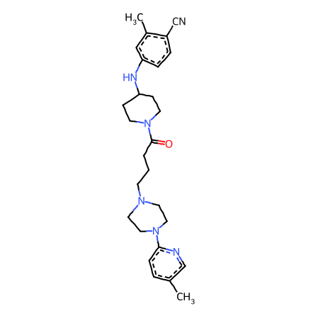 Cc1ccc(N2CCN(CCCC(=O)N3CCC(Nc4ccc(C#N)c(C)c4)CC3)CC2)nc1